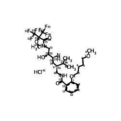 COCCCCOc1ccccc1C(=O)NC[C@@H](C[C@H](N)[C@@H](O)CNC(=O)C(OC)(C(F)(F)F)C(F)(F)F)C(C)C.Cl